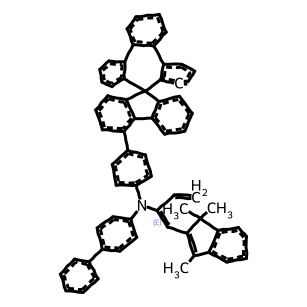 C=C/C(=C\C1=C(C)c2ccccc2C1(C)C)N(c1ccc(-c2ccccc2)cc1)c1ccc(-c2cccc3c2-c2ccccc2C32c3ccccc3-c3ccccc3-c3ccccc32)cc1